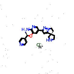 C[C@@H](Oc1cc(-c2cc3n(n2)CC[C@@]32CCNC2)cnc1N)c1ccncc1.[Cl-].[H+]